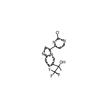 CC(O)(c1ccc2ncc(-c3ccnc(Cl)n3)n2c1)C(F)(F)F